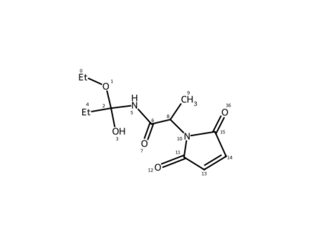 CCOC(O)(CC)NC(=O)C(C)N1C(=O)C=CC1=O